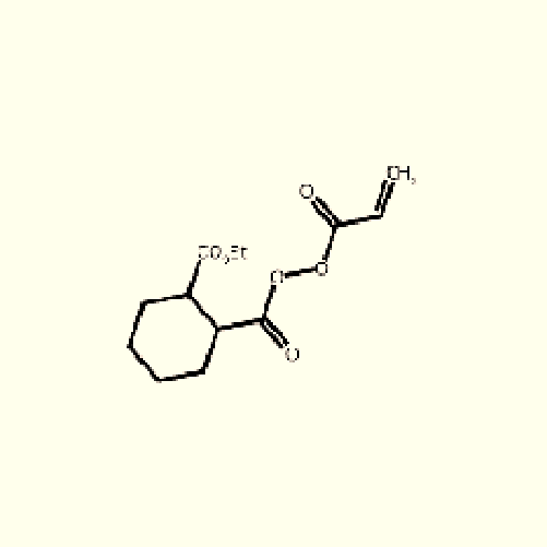 C=CC(=O)OOC(=O)C1CCCCC1C(=O)OCC